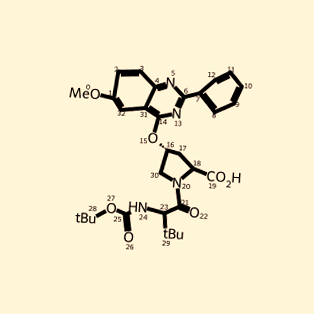 COc1ccc2nc(-c3ccccc3)nc(O[C@@H]3CC(C(=O)O)N(C(=O)C(NC(=O)OC(C)(C)C)C(C)(C)C)C3)c2c1